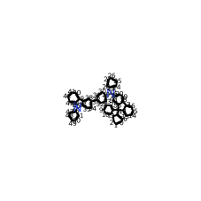 C1=CCCC(C2(c3ccccc3)c3ccccc3-c3ccc(N(c4ccccc4)c4ccc(-c5ccc6c(c5)c5ccccc5n6-c5ccccc5)cc4)cc32)=C1